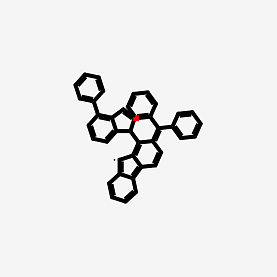 [C]1=c2ccccc2=c2ccc(=C(c3ccccc3)c3ccccc3)c(C3C=Cc4c(-c5ccccc5)cccc43)c21